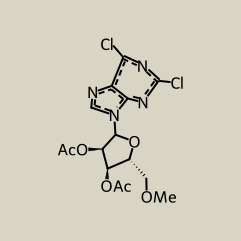 COC[C@H]1OC(n2cnc3c(Cl)nc(Cl)nc32)[C@H](OC(C)=O)[C@@H]1OC(C)=O